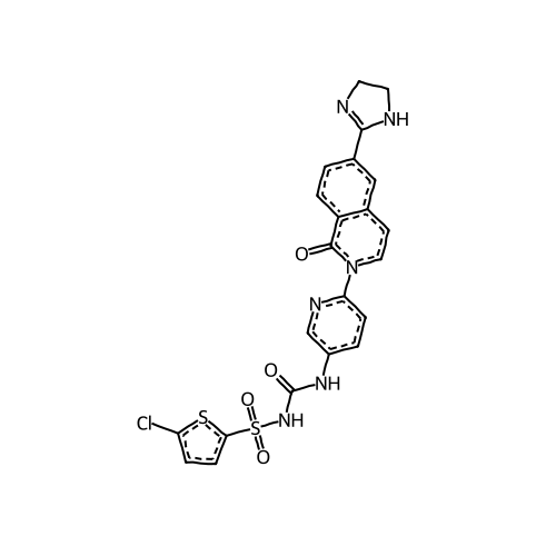 O=C(Nc1ccc(-n2ccc3cc(C4=NCCN4)ccc3c2=O)nc1)NS(=O)(=O)c1ccc(Cl)s1